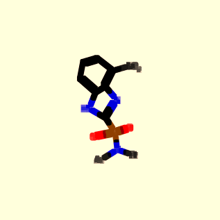 CCN(C(C)=O)S(=O)(=O)c1nc2c([N+](=O)[O-])cccc2[nH]1